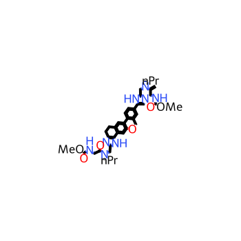 C=C(CNC(=O)OC)N(CCC)Cc1ncc(-c2ccc3c(c2)COc2cc4c(cc2-3)CCc2nc(CN(CCC)C(=O)CNC(=O)OC)[nH]c2-4)[nH]1